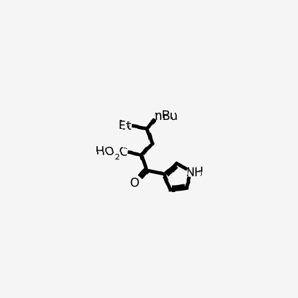 CCCCC(CC)CC(C(=O)O)C(=O)c1cc[nH]c1